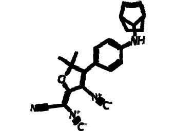 [C-]#[N+]C1=C(c2ccc(NC3C4C=CC3CC4)cc2)C(C)(C)O/C1=C(\C#N)[N+]#[C-]